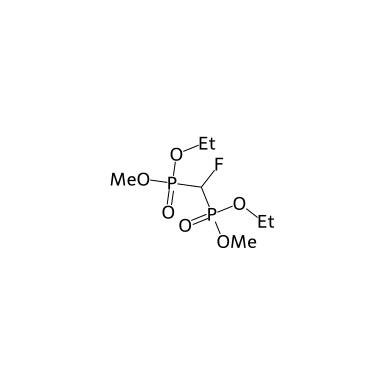 CCOP(=O)(OC)C(F)P(=O)(OC)OCC